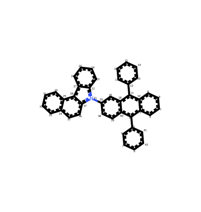 c1ccc(-c2c3ccccc3c(-c3ccccc3)c3cc(-n4c5ccccc5c5c6ccccc6ccc54)ccc23)cc1